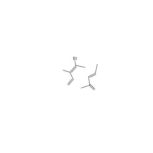 C=C(C)/C=C/C.C=C/C(C)=C(\C)CC